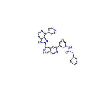 O=C(Cc1ccccc1)Nc1cncc(-c2cc3c(-c4nc5c(-c6ccncc6)nccc5[nH]4)n[nH]c3cn2)c1